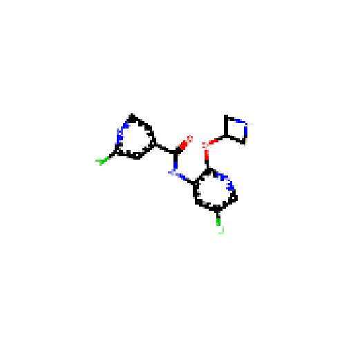 O=C(Nc1cc(Cl)cnc1OC1CNC1)c1ccnc(Cl)c1